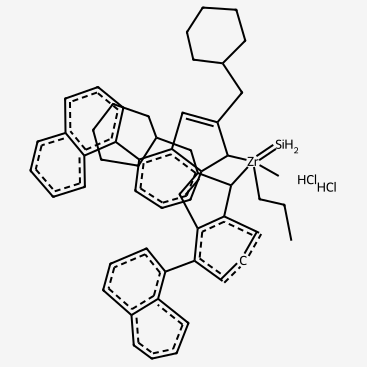 CC[CH2][Zr]([CH3])(=[SiH2])([CH]1C(CC2CCCCC2)=Cc2c(-c3cccc4ccccc34)cccc21)[CH]1C(CC2CCCCC2)=Cc2c(-c3cccc4ccccc34)cccc21.Cl.Cl